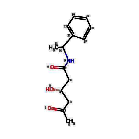 CC(=O)C[C@H](O)CC(=O)NC(C)c1ccccc1